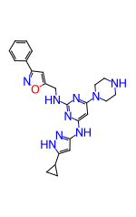 c1ccc(-c2cc(CNc3nc(Nc4cc(C5CC5)[nH]n4)cc(N4CCNCC4)n3)on2)cc1